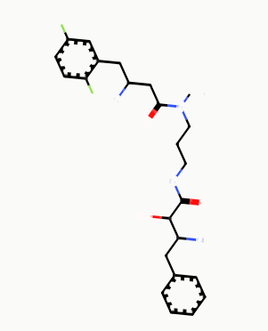 CN(CCCNC(=O)C(O)C(N)Cc1ccccc1)C(=O)CC(N)Cc1cc(F)ccc1F